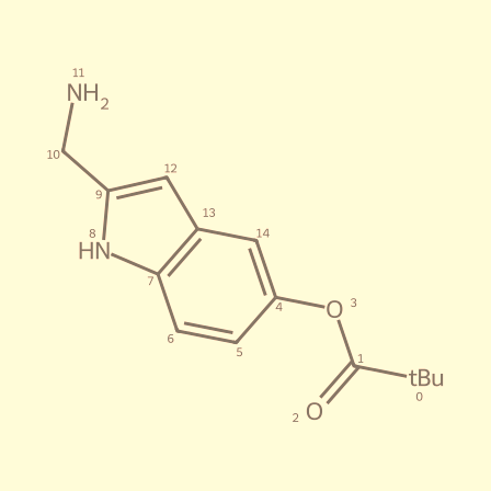 CC(C)(C)C(=O)Oc1ccc2[nH]c(CN)cc2c1